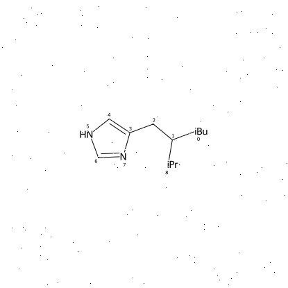 CCC(C)C(Cc1c[nH]cn1)[C](C)C